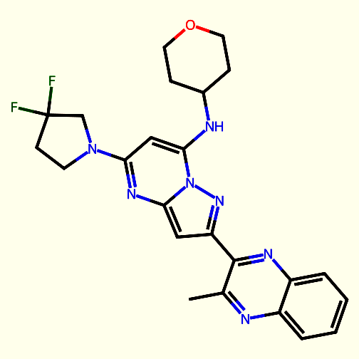 Cc1nc2ccccc2nc1-c1cc2nc(N3CCC(F)(F)C3)cc(NC3CCOCC3)n2n1